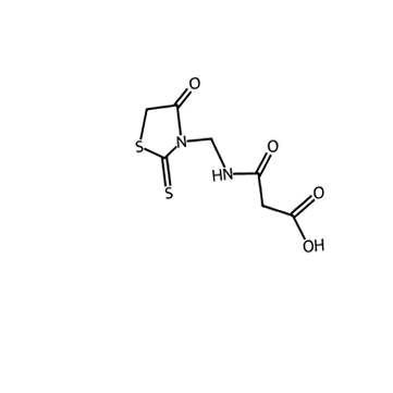 O=C(O)CC(=O)NCN1C(=O)CSC1=S